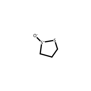 [O-][S+]1CCCS1